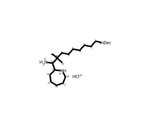 CCCCCCCCCCCCCCCCCC(C)(C)C(N)C1CCCCCN1.Cl